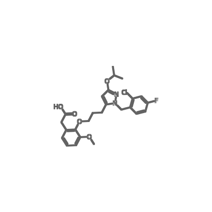 COc1cccc(CC(=O)O)c1OCCCc1cc(OC(C)C)nn1Cc1ccc(F)cc1Cl